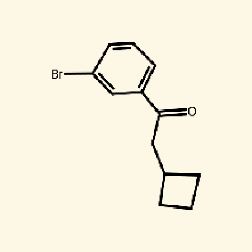 O=C(CC1CCC1)c1cccc(Br)c1